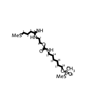 CSCCCC(=N)NCCOC(=O)NCCCCCCOP(C)(=O)SC